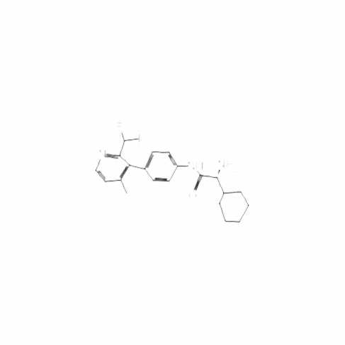 Cc1ccnc(C(F)F)c1-c1ccc(NC(=O)[C@@H](N)C2CCCCC2)cc1